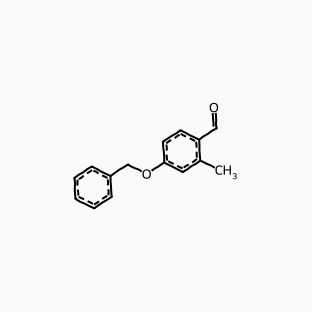 Cc1cc(OCc2ccccc2)ccc1C=O